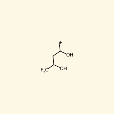 CC(C)C(O)CC(O)C(F)(F)F